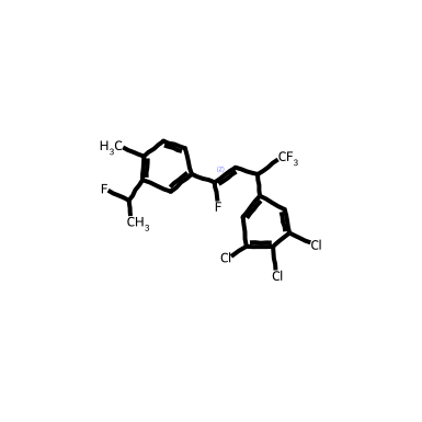 Cc1ccc(/C(F)=C/C(c2cc(Cl)c(Cl)c(Cl)c2)C(F)(F)F)cc1C(C)F